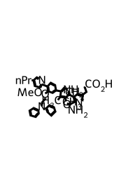 C=C(/C(C)=C(C)\C(=C/N)c1ccc(-c2ncc(CCC)cc2OC)c(OCCN(c2ccccc2)c2ccccc2)c1)c1cc(CCC(=O)O)cnc1C(N)=O